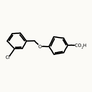 O=C(O)c1ccc(OCc2cccc(Cl)c2)cc1